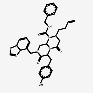 C=CCCN1CC(=O)N2C(Cc3ccc(O)cc3)C(=O)N(CC3=CC=CC4SC=NC34)CC2N1C(=O)NCc1ccccc1